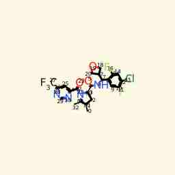 C[C@@H]1C[C@H](C(=O)NC(c2cc(F)c(Cl)cc2F)C2COC2)N(C(=O)c2cc(C(F)(F)F)ncn2)[C@@H]1C